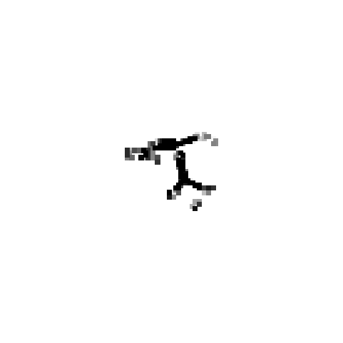 CC#N.O.O=C([O-])[O-].[K+].[K+]